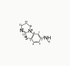 CNc1ccc2c(c1)N1CCCN=C1S2